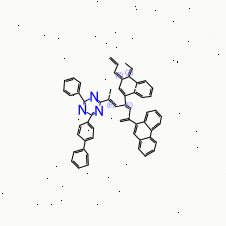 C=C/C=c1/cc(C(/C=C(\C)c2nc(-c3ccccc3)nc(-c3ccc(-c4ccccc4)cc3)n2)=C/C(=C)c2cc3ccccc3c3ccccc23)c2ccccc2/c1=C/C